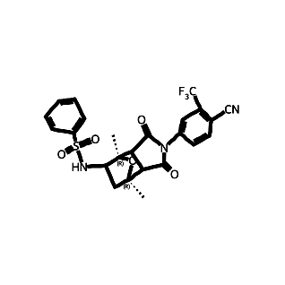 C[C@]12O[C@](C)(CC1NS(=O)(=O)c1ccccc1)C1C(=O)N(c3ccc(C#N)c(C(F)(F)F)c3)C(=O)C12